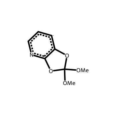 COC1(OC)Oc2[c]ccnc2O1